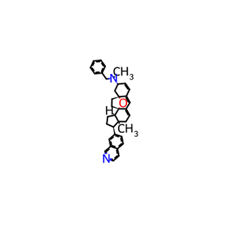 CN(Cc1ccccc1)[C@@H]1C=CC2=CC3=CC[C@]4(C)[C@@H](c5ccc6ccncc6c5)CC[C@H]4[C@@]34CC[C@]2(C1)O4